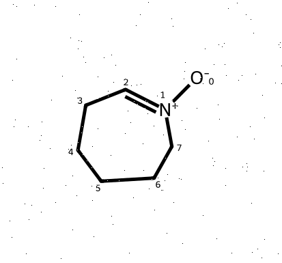 [O-][N+]1=CCCCCC1